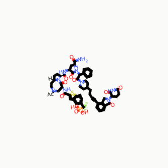 CC(=O)N1CC[C@H]2CC[C@@H](C(=O)NC(CCC(N)=O)C(=O)NC(C(=O)N3CCC(CCC#Cc4cccc5c4CN(C4CCC(=O)NC4=O)C5=O)CC3)c3ccccc3)N2C(=O)[C@@H](NC(=O)c2cc3cc(C(F)(F)P(=O)(O)O)ccc3s2)C1